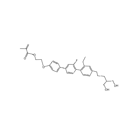 C=C(C)C(=O)OCCOc1ccc(-c2ccc(-c3ccc(CCCC(CO)CO)cc3CC)c(F)c2)cc1